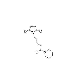 O=C(CCCCN1C(=O)C=CC1=O)N1CCCCC1